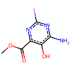 COC(=O)c1nc(I)nc(N)c1O